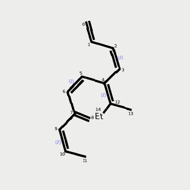 C=C\C=C/C(/C=C\C(=C)/C=C\C)=C(\C)CC